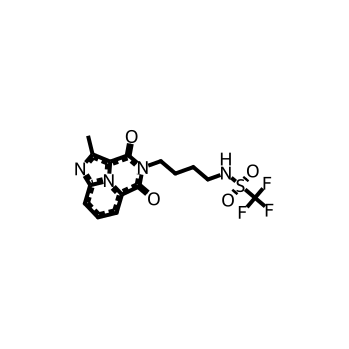 Cc1nc2cccc3c(=O)n(CCCCNS(=O)(=O)C(F)(F)F)c(=O)c1n23